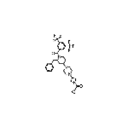 O=C(C1CC1)N1CC(N2CCN(C3CCN(C(=O)c4cc(C(F)(F)F)cc(C(F)(F)F)c4)C(Cc4ccccc4)C3)CC2)C1